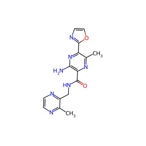 Cc1nccnc1CNC(=O)c1nc(C)c(-c2ncco2)nc1N